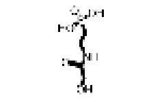 O=C(CO)NCCP(=O)(O)O